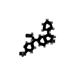 Nc1ccc(N(C=O)c2ccc3[nH]nc(-c4ccccc4)c3c2)cc1